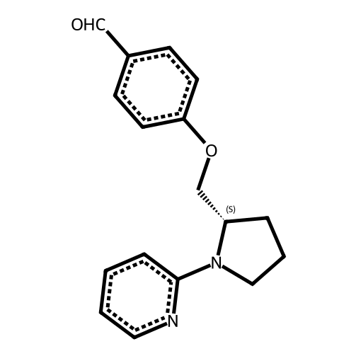 O=Cc1ccc(OC[C@@H]2CCCN2c2ccccn2)cc1